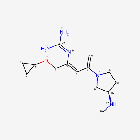 C=C(/C=C(/COC1CC1)N=C(N)N)N1CC[C@@H](NC)C1